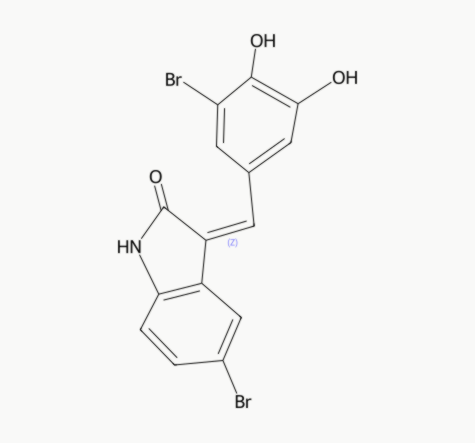 O=C1Nc2ccc(Br)cc2/C1=C/c1cc(O)c(O)c(Br)c1